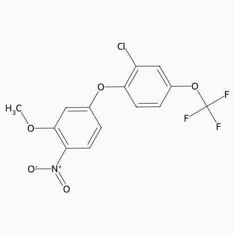 COc1cc(Oc2ccc(OC(F)(F)F)cc2Cl)ccc1[N+](=O)[O-]